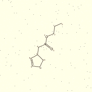 CCCOC(=O)CC1C=CCC1